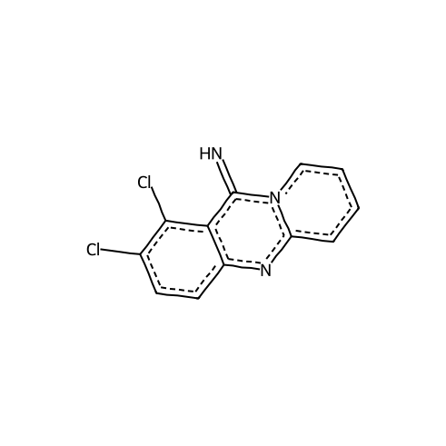 N=c1c2c(Cl)c(Cl)ccc2nc2ccccn12